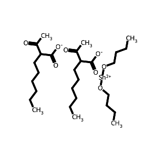 CCCCCCC(C(C)=O)C(=O)[O-].CCCCCCC(C(C)=O)C(=O)[O-].CCCC[O][Sn+2][O]CCCC